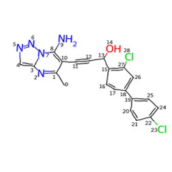 Cc1nc2cnnn2c(N)c1C#CC(O)c1ccc(-c2ccc(Cl)cc2)cc1Cl